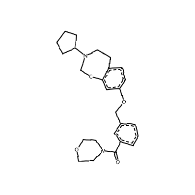 O=C(c1cccc(COc2ccc3c(c2)CCN(C2CCCC2)CC3)c1)N1CCOCC1